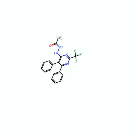 CC(=O)NNc1nc(C(F)(F)F)nc(-c2ccccc2)c1-c1ccccc1